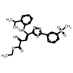 CCOC(=O)C(=N)/C=C(\Nc1ccccc1C(C)C)c1nnc(-c2cccc(S(C)(=O)=O)c2)s1